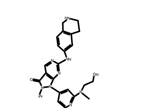 CC(C)n1c(=O)c2cnc(Nc3ccc4c(c3)CCNC4)nc2n1-c1ccnc(N(C)CCO)c1